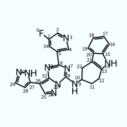 Fc1cncc(-c2nc(NC3CCc4[nH]c5ccccc5c4C3)n3ncc(-c4ccn[nH]4)c3n2)c1